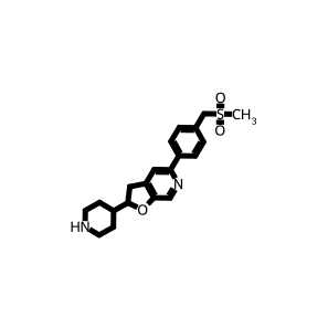 CS(=O)(=O)Cc1ccc(-c2cc3c(cn2)OC(C2CCNCC2)C3)cc1